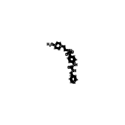 CN1CCN(CCNS(=O)(=O)c2ccc(NC(=O)NCc3ccncc3)cc2)CC1